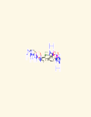 O=C(Nc1cccnc1)Nc1ccc(-c2ccc(-c3ncc[nH]3)c3c2CNC3=O)c(F)c1